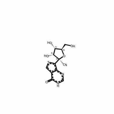 N#C[C@@]1(c2scc3c(=O)[nH]cnc23)O[C@H](CO)[C@@H](O)[C@H]1O